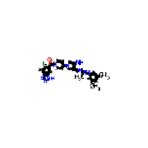 C/C(=N\C=C1\CN(C2CCN(C(=O)c3cc4[nH]nnc4cc3F)CC2)CC1=N)Nc1cc(C)cc(C)c1